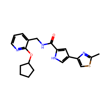 Cc1nc(-c2c[nH]c(C(=O)NCc3cccnc3OC3CCCC3)c2)cs1